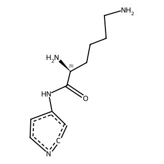 NCCCC[C@H](N)C(=O)Nc1ccncc1